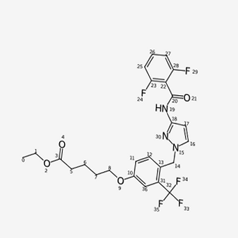 CCOC(=O)CCCCOc1ccc(Cn2ccc(NC(=O)c3c(F)cccc3F)n2)c(C(F)(F)F)c1